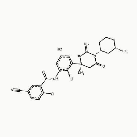 C[C@@H]1C[C@H](N2C(=N)N[C@](C)(c3cccc(NC(=O)c4cc(C#N)ccc4Cl)c3Cl)CC2=O)CCO1.Cl